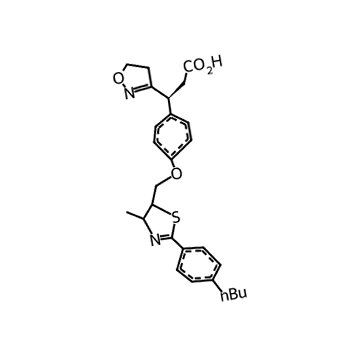 CCCCc1ccc(C2=NC(C)C(COc3ccc([C@H](CC(=O)O)C4=NOCC4)cc3)S2)cc1